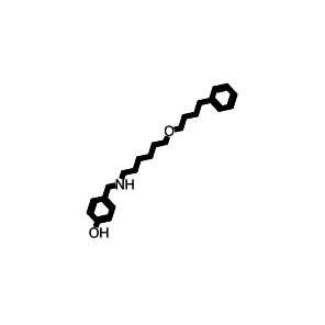 Oc1ccc(CNCCCCCCOCCCCc2ccccc2)cc1